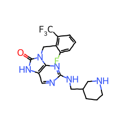 O=c1[nH]c2cnc(NCC3CCCNC3)nc2n1Cc1c(F)cccc1C(F)(F)F